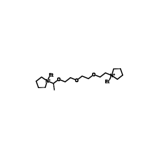 CC[N+]1(CCOCCOCCOC(C)[N+]2(CC)CCCC2)CCCC1